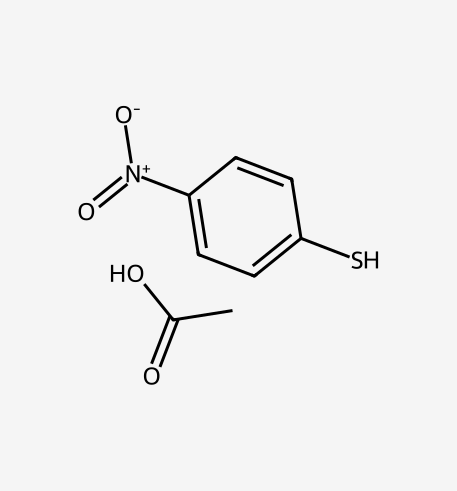 CC(=O)O.O=[N+]([O-])c1ccc(S)cc1